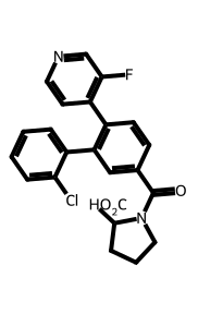 O=C(O)C1CCCN1C(=O)c1ccc(-c2ccncc2F)c(-c2ccccc2Cl)c1